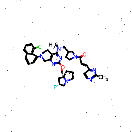 Cc1nccc(/C=C/C(=O)N2CCC(/C=[N+](/C)c3nc(OC[C@@]45CCCN4C[C@H](F)C5)nc4c3CCN(c3cccc5cccc(Cl)c35)C4)C2)n1